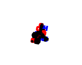 CONC(=O)C(=O)C(Cc1ccccc1)NC(=O)[C@H](CC(C)C)NC(=O)c1cccc(OC)c1